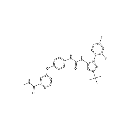 CNC(=O)c1cc(Oc2ccc(NC(=O)Nc3cc(C(C)(C)C)nn3-c3ccc(F)cc3F)cc2)ccn1